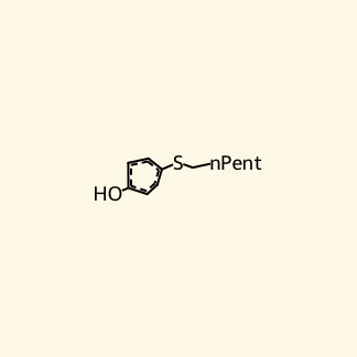 CCCCCCSc1ccc(O)cc1